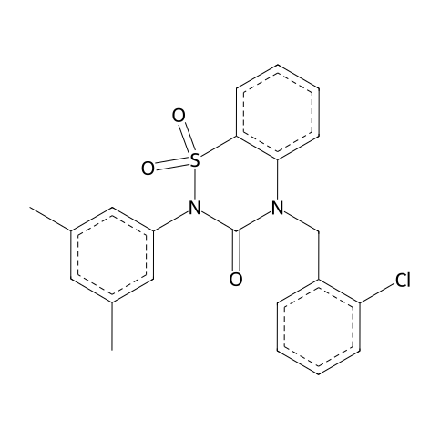 Cc1cc(C)cc(N2C(=O)N(Cc3ccccc3Cl)c3ccccc3S2(=O)=O)c1